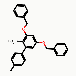 Cc1ccc(-c2cc(OCc3ccccc3)cc(OCc3ccccc3)c2C(=O)O)cc1